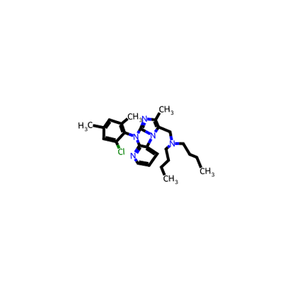 CCCCN(CCCC)Cc1c(C)nc2n(-c3c(C)cc(C)cc3Cl)c3ncccc3n12